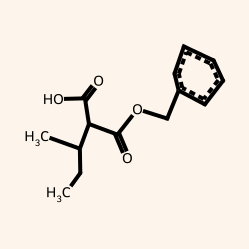 CCC(C)C(C(=O)O)C(=O)OCc1ccccc1